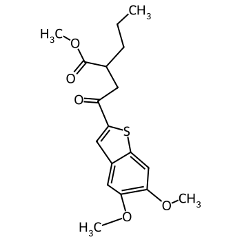 CCCC(CC(=O)c1cc2cc(OC)c(OC)cc2s1)C(=O)OC